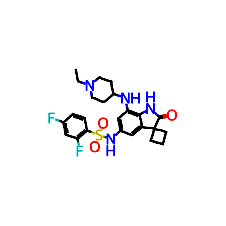 CCN1CCC(Nc2cc(NS(=O)(=O)c3ccc(F)cc3F)cc3c2NC(=O)C32CCC2)CC1